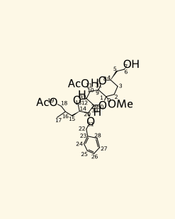 COC12CC[C@H](CCO)O[C@@H]1[C@@H](OC(C)=O)[C@@H]1O[C@H](CC(C)COC(C)=O)[C@H](OCc3ccccc3)[C@@H]1O2